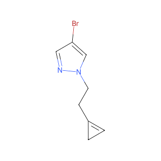 Brc1cnn(CCC2=CC2)c1